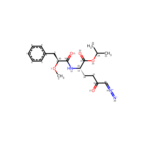 CO[C@@H](Cc1ccccc1)C(=O)N[C@@H](CCC(=O)C=[N+]=[N-])C(=O)OC(C)C